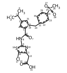 CC(C)c1cc(C(=O)Nc2nc(CC(=O)O)c(Cl)s2)n(Cc2ccc(S(C)(=O)=O)cc2)c1